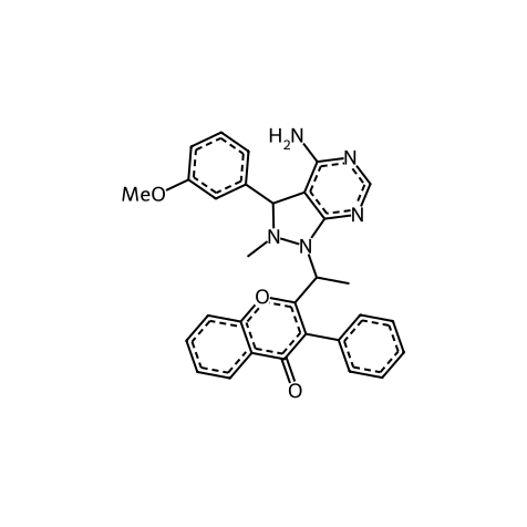 COc1cccc(C2c3c(N)ncnc3N(C(C)c3oc4ccccc4c(=O)c3-c3ccccc3)N2C)c1